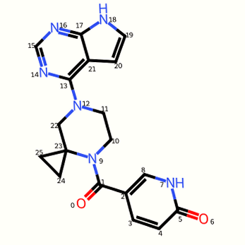 O=C(c1ccc(=O)[nH]c1)N1CCN(c2ncnc3[nH]ccc23)CC12CC2